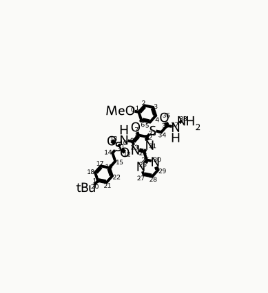 COc1ccccc1Oc1c(NS(=O)(=O)CCc2ccc(C(C)(C)C)cc2)nc(-c2ncccn2)nc1SCC(=O)NN